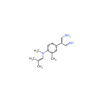 CC(C)=CN(C)c1ccc(/C(C=N)=C/N)cc1C